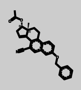 CC(=O)O[C@H]1CC=C2c3c(C#N)cc4cc(OCc5ccccc5)ccc4c3CC[C@@]21C